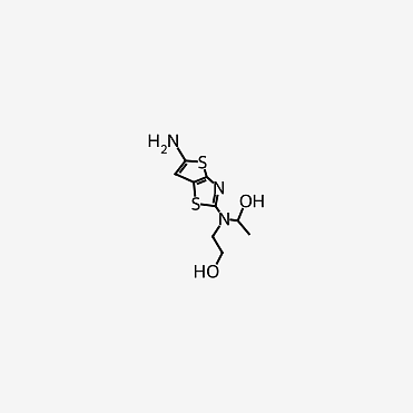 CC(O)N(CCO)c1nc2sc(N)cc2s1